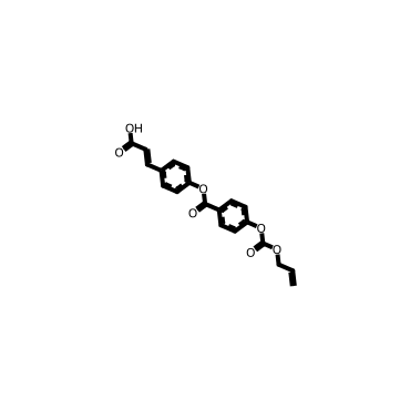 C=CCOC(=O)Oc1ccc(C(=O)Oc2ccc(C=CC(=O)O)cc2)cc1